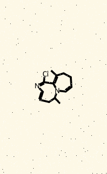 CC1=C2/C(Cl)=N\C=C\CC(C)N2C=CCC1